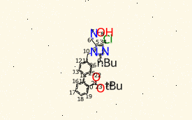 CCCCc1nc(Cl)c(/C=N\O)n1Cc1ccc(-c2ccccc2C(=O)OC(C)(C)C)cc1